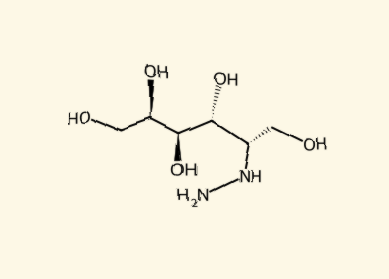 NN[C@@H](CO)[C@@H](O)[C@@H](O)[C@H](O)CO